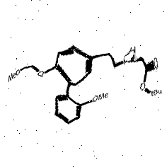 COCOc1ccc(CCNC(=O)OC(C)(C)C)cc1-c1ccccc1OC